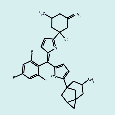 C=C1CC(C)CC(CC)(C2=N/C(=C(\c3ccc(C45CC(C)CC6(CC6C4)C5)[nH]3)c3c(F)cc(F)cc3F)C=C2)C1